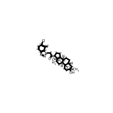 C[C@@]1(O)CC[C@@]2(C)[C@H](CC[C@@H]3[C@@H]2CC[C@]2(C)[C@@H](C(=O)Cn4nnc5ccc(Cl)c(F)c54)CC[C@@H]32)C1